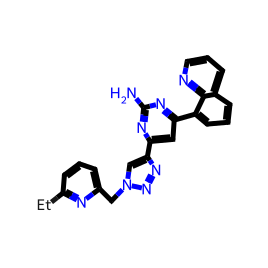 CCc1cccc(Cn2cc(-c3cc(-c4cccc5cccnc45)nc(N)n3)nn2)n1